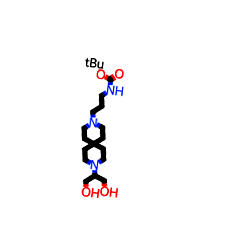 CC(C)(C)OC(=O)NCCCN1CCC2(CC1)CCN(C(CO)CO)CC2